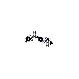 Cc1ccc2nc(NCCc3ccc(/N=C4/N[C@H](CC(C)C)CS4)cc3)sc2c1